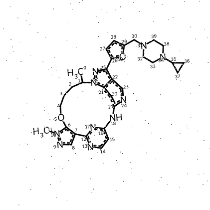 CC1CCCOc2c(cnn2C)-c2nccc(n2)Nc2cc3c(cn2)c(-c2ccc(CN4CCN(C5CC5)CC4)o2)nn31